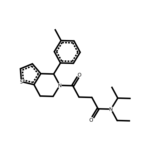 CCN(C(=O)CCC(=O)N1CCc2sccc2C1c1cccc(C)c1)C(C)C